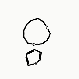 C1=CC=CNC=C1.C1CCCCCCCCCCC1